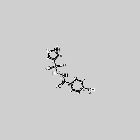 O=C(NNS(=O)(=O)c1cn[nH]c1)c1ccc(O)cc1